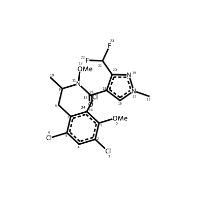 COc1c(Cl)cc(Cl)c(CC(C)N(OC)C(=O)c2cn(C)nc2C(F)F)c1Cl